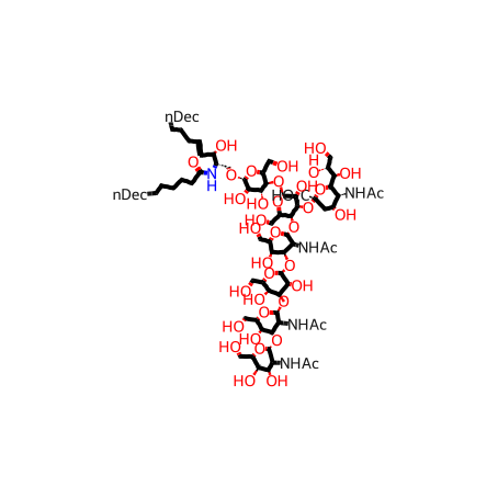 CCCCCCCCCCCCC/C=C/[C@@H](O)[C@H](CO[C@@H]1OC(CO)[C@@H](O[C@@H]2OC(CO)[C@H](O[C@@H]3OC(CO)[C@H](O)[C@H](O[C@@H]4OC(CO)[C@H](O)[C@H](O[C@@H]5OC(CO)[C@H](O)[C@H](O[C@H]6OC(CO)[C@H](O)[C@H](O)C6NC(C)=O)C5NC(C)=O)C4O)C3NC(C)=O)[C@H](O[C@]3(C(=O)O)CC(O)[C@@H](NC(C)=O)C([C@H](O)[C@H](O)CO)O3)C2O)[C@H](O)C1O)NC(=O)CCCCCCCCCCCCCCC